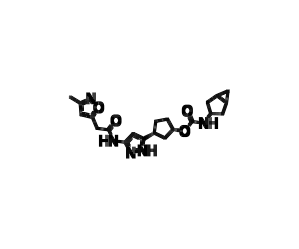 Cc1cc(CC(=O)Nc2cc([C@H]3CC[C@@H](OC(=O)NC4CC5CC5C4)C3)[nH]n2)on1